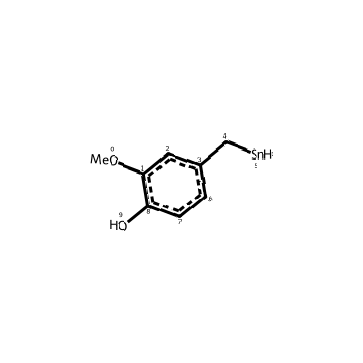 COc1cc([CH2][SnH])ccc1O